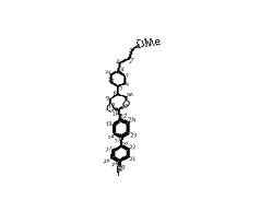 COCCCC1CCC(C2COC(c3ccc(-c4ccc(F)cc4)cc3)OC2)CC1